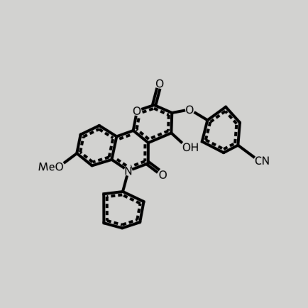 COc1ccc2c3oc(=O)c(Oc4ccc(C#N)cc4)c(O)c3c(=O)n(-c3ccccc3)c2c1